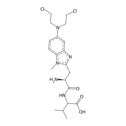 CC(C)C(NC(=O)[C@@H](N)Cc1nc2cc(N(CCCl)CCCl)ccc2n1C)C(=O)O